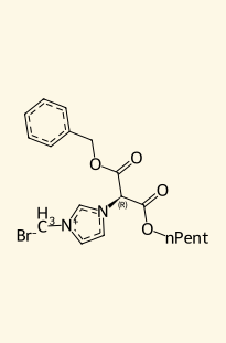 CCCCCOC(=O)[C@H](C(=O)OCc1ccccc1)n1cc[n+](C)c1.[Br-]